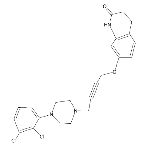 O=C1CCc2ccc(OCC#CCN3CCN(c4cccc(Cl)c4Cl)CC3)cc2N1